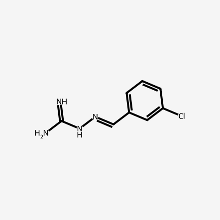 N=C(N)N/N=C/c1cccc(Cl)c1